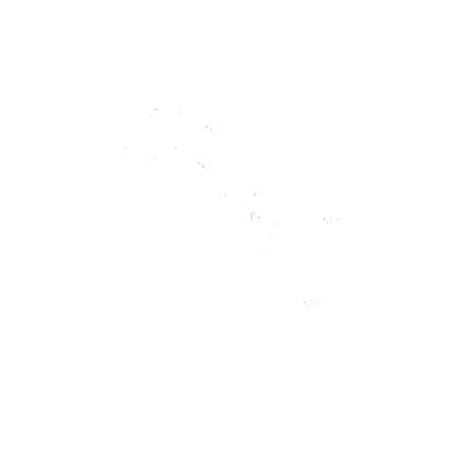 COc1ccc(C(=O)NCCCNC2=NCc3ccccc32)c(OC)c1